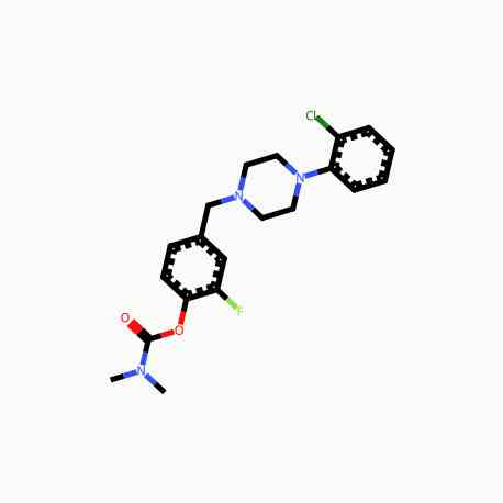 CN(C)C(=O)Oc1ccc(CN2CCN(c3ccccc3Cl)CC2)cc1F